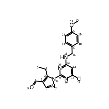 CCc1c(C=O)cnn1-c1nc(Cl)cc(NCc2ccc(OC)cc2)n1